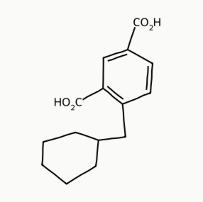 O=C(O)c1ccc(CC2CCCCC2)c(C(=O)O)c1